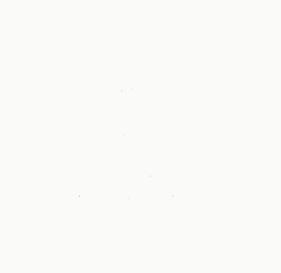 CCOc1ccc2c(c1OCC)C(=O)c1ccccc1C2=O